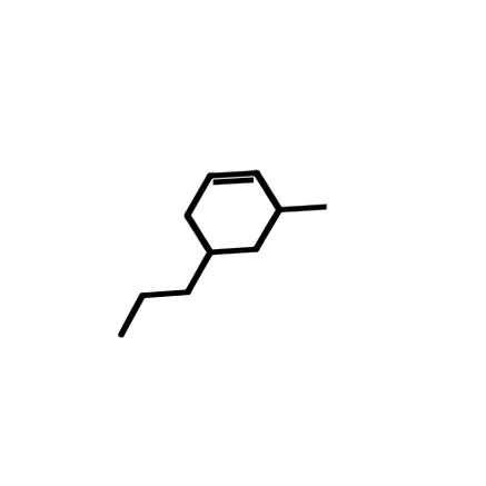 CCCC1CC=CC(C)C1